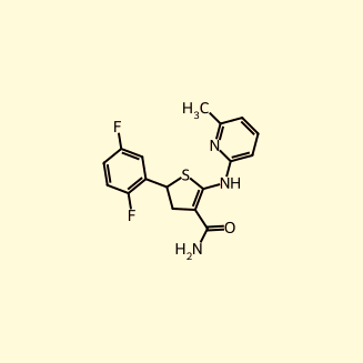 Cc1cccc(NC2=C(C(N)=O)CC(c3cc(F)ccc3F)S2)n1